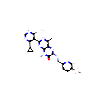 CCS(=O)(=O)c1ccc(CNc2nc3c(C)nc(-c4c(OC)ncnc4C4CC4)nc3n(C(C)C)c2=O)nc1